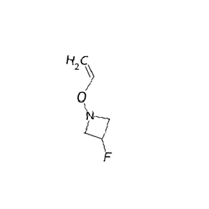 C=CON1CC(F)C1